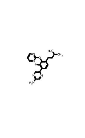 CC(C)CCc1ccc(-c2cnc(N)cn2)c(F)c1Oc1ncccn1